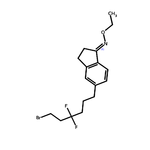 CCO/N=C1\CCc2cc(CCCC(F)(F)CCBr)ccc21